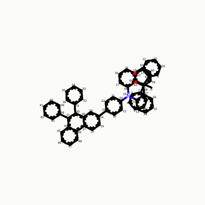 CC1(c2ccccc2)c2ccccc2-c2cccc(N(c3ccc(-c4ccc5c(c4)c(-c4ccccc4)c(-c4ccccc4)c4ccccc45)cc3)c3ccccc3-c3ccccc3)c21